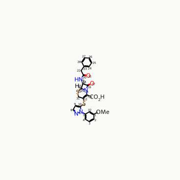 COc1cccc(-n2nccc2SC2=C(C(=O)O)N3C(=O)[C@@H](NC(=O)Cc4ccccc4)[C@@H]3SC2)c1